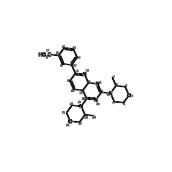 CC1COCCN1C1=NC2N=C(c3cccc(C(=O)O)c3)C=CC2C(N2CCOCC2C)=N1